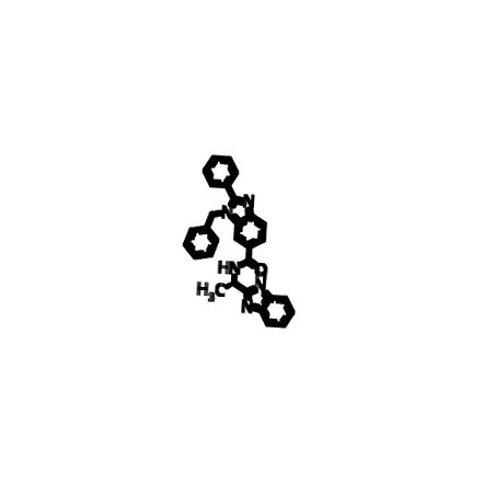 C[C@@H](NC(=O)c1ccc2nc(-c3ccccc3)n(Cc3ccccc3)c2c1)c1nc2ccccc2[nH]1